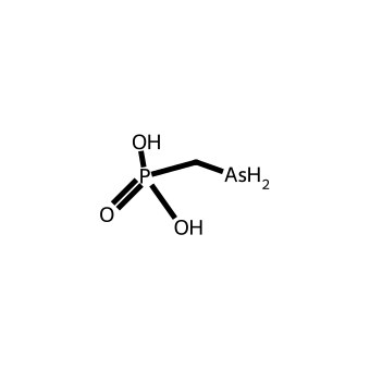 O=P(O)(O)C[AsH2]